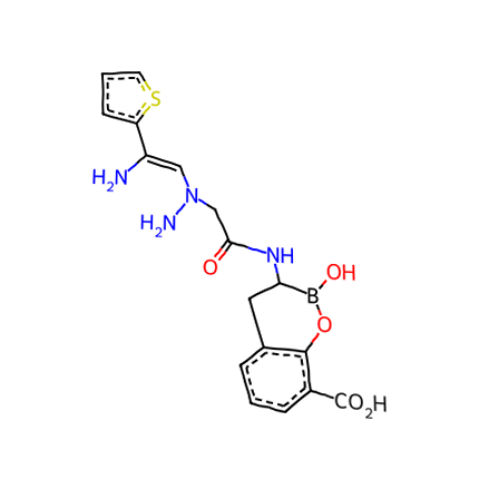 N/C(=C\N(N)CC(=O)NC1Cc2cccc(C(=O)O)c2OB1O)c1cccs1